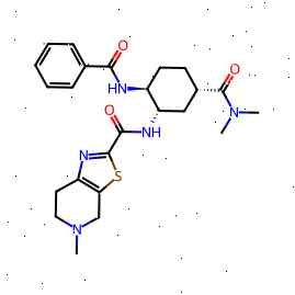 CN1CCc2nc(C(=O)N[C@H]3C[C@@H](C(=O)N(C)C)CC[C@@H]3NC(=O)c3c[c]ccc3)sc2C1